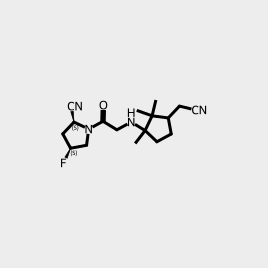 CC1(NCC(=O)N2C[C@@H](F)C[C@H]2C#N)CCC(CC#N)C1(C)C